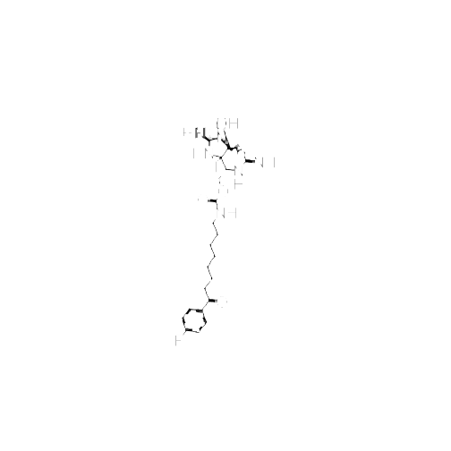 N=C1N[C@H]2[C@H](COC(=O)NCCCCCCCC(=O)c3ccc(F)cc3)NC(=N)N3CCC(O)(O)[C@]23N1